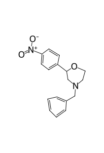 O=[N+]([O-])c1ccc(C2CN(Cc3ccccc3)CCO2)cc1